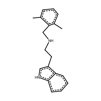 Cc1cccc(C)c1CNCCc1c[nH]c2ccccc12